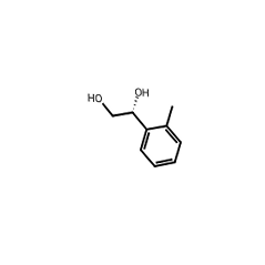 Cc1ccccc1[C@@H](O)CO